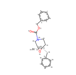 O=C(OCc1ccccc1)N1CC[C@@]2(Cc3ccccc3)O[C@H]2C1